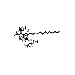 CCCCCCCCCCCCCCCC(C(CC(C)C)C(C)(C)N)[Si](OC)(OC)OCCO.Cl